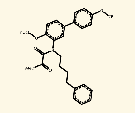 CCCCCCCCOc1ccc(-c2ccc(OC(F)(F)F)cc2)cc1N(CCCCc1ccccc1)C(=O)C(=O)OC